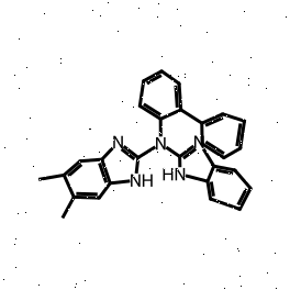 Cc1cc2nc(N(c3nc4ccccc4[nH]3)c3ccccc3-c3ccccc3)[nH]c2cc1C